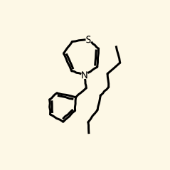 C1=CN(Cc2ccccc2)C=CSC1.CCCCCCCC